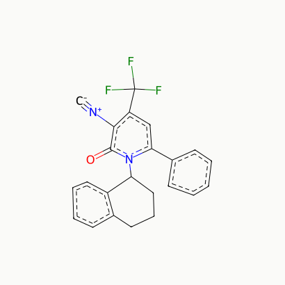 [C-]#[N+]c1c(C(F)(F)F)cc(-c2ccccc2)n(C2CCCc3ccccc32)c1=O